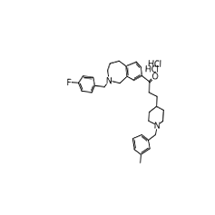 Cc1cccc(CN2CCC(CCC(=O)c3ccc4c(c3)CN(Cc3ccc(F)cc3)CCC4)CC2)c1.Cl.Cl